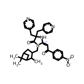 CC1C(CN2C(=O)C(Cc3ccncc3)(Cc3ccncc3)N/C2=C/C(=O)c2ccc([N+](=O)[O-])cc2)CC2CC1C2(C)C